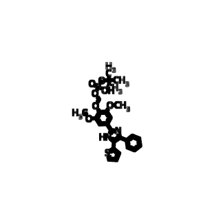 COc1cc(-c2nc(-c3ccccc3)c(-c3cccs3)[nH]2)cc(OC)c1OCOP(=O)(O)OC(C)(C)C